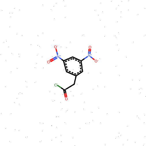 O=C(Cl)Cc1cc([N+](=O)[O-])cc([N+](=O)[O-])c1